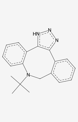 CC(C)(C)N1Cc2ccccc2-c2nn[nH]c2-c2ccccc21